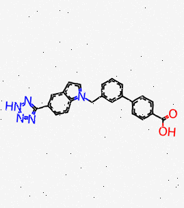 O=C(O)c1ccc(-c2cccc(Cn3ccc4cc(-c5nn[nH]n5)ccc43)c2)cc1